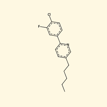 CCCCCc1ccc(-c2ccc(Cl)c(F)c2)nc1